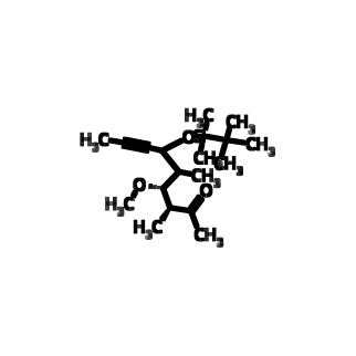 CC#CC(O[Si](C)(C)C(C)(C)C)C(C)[C@@H](OC)[C@H](C)C(C)=O